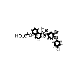 O=C(O)COc1cccc2c1CCCC2NS(=O)(=O)c1cnc(Oc2ccc(Cl)cc2)c(Br)c1